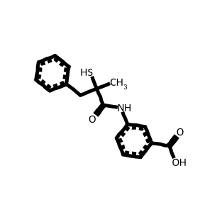 CC(S)(Cc1ccccc1)C(=O)Nc1cccc(C(=O)O)c1